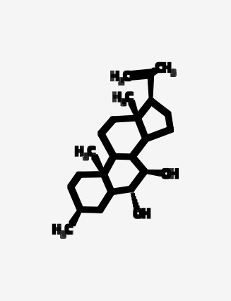 C=C(C)[C@H]1CCC2C3C(CC[C@@]21C)[C@@]1(C)CC[C@H](C)CC1[C@@H](O)[C@@H]3O